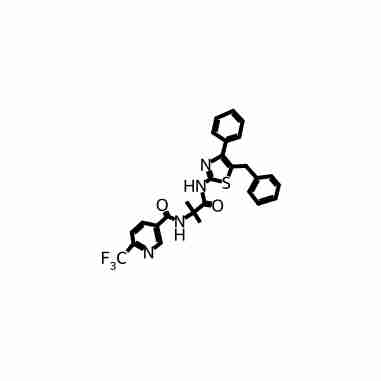 CC(C)(NC(=O)c1ccc(C(F)(F)F)nc1)C(=O)Nc1nc(-c2ccccc2)c(Cc2ccccc2)s1